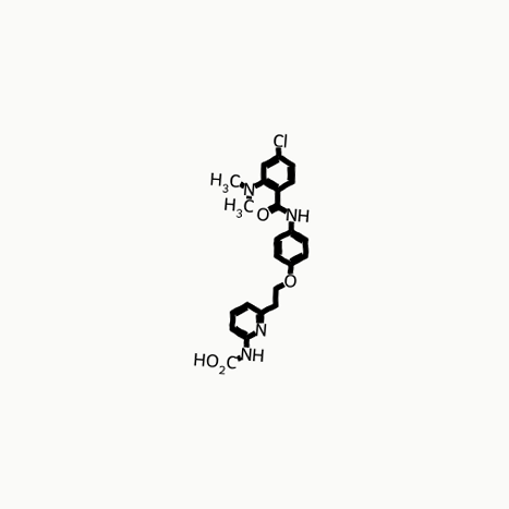 CN(C)c1cc(Cl)ccc1C(=O)Nc1ccc(OCCc2cccc(NC(=O)O)n2)cc1